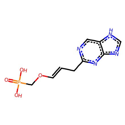 O=P(O)(O)COC=CCc1ncc2[nH]cnc2n1